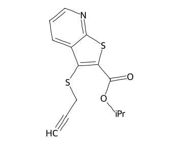 C#CCSc1c(C(=O)OC(C)C)sc2ncccc12